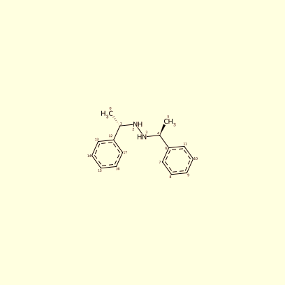 C[C@H](NN[C@@H](C)c1ccccc1)c1ccccc1